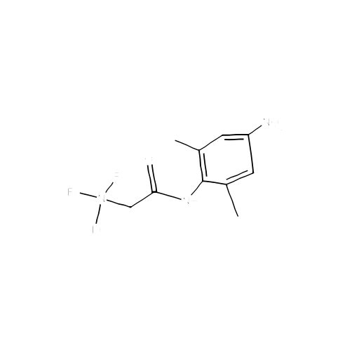 CC[N+](CC)(CC)CC(=O)Nc1c(C)cc([N+](=O)[O-])cc1C